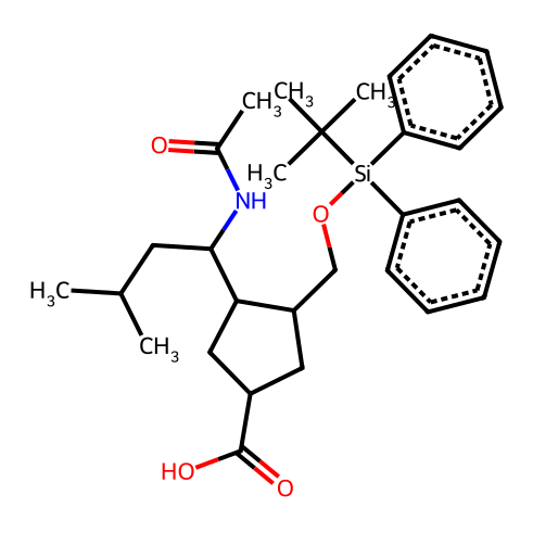 CC(=O)NC(CC(C)C)C1CC(C(=O)O)CC1CO[Si](c1ccccc1)(c1ccccc1)C(C)(C)C